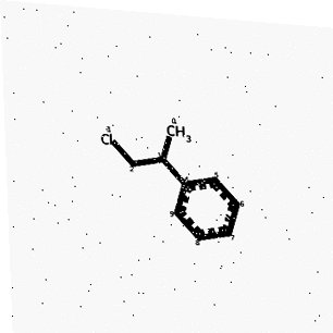 CC(CCl)c1[c]cccc1